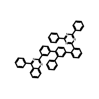 c1ccc(-c2nc(-c3ccccc3)nc(-c3ccccc3-c3ccc(-c4cccc(-c5nc(-c6ccccc6)c6ccccc6n5)c4)c(-c4ccccc4)c3)n2)cc1